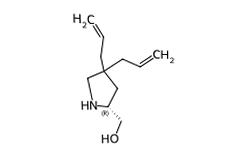 C=CCC1(CC=C)CN[C@@H](CO)C1